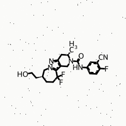 C[C@@H]1Cc2nn3c(c2CN1C(=O)Nc1ccc(F)c(C#N)c1)C(F)(F)CC[C@@H](CCO)C3